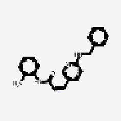 Nc1ccccc1NC(=O)/C=C\c1ccc(NCc2ccccc2)nc1